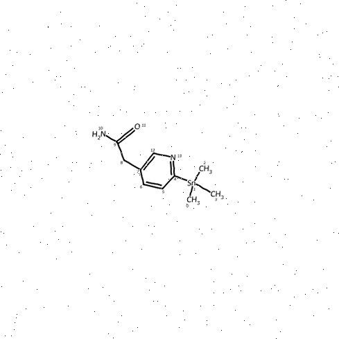 [CH3][Sn]([CH3])([CH3])[c]1ccc(CC(N)=O)cn1